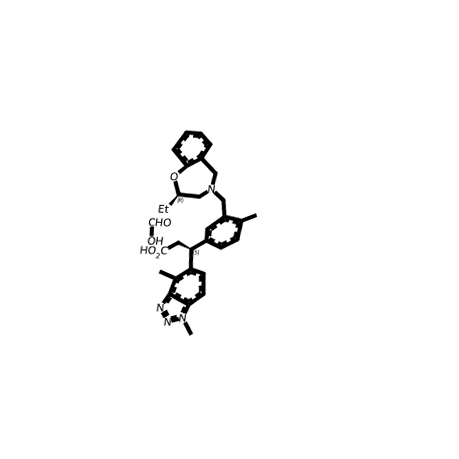 CC[C@@H]1CN(Cc2cc([C@H](CC(=O)O)c3ccc4c(nnn4C)c3C)ccc2C)Cc2ccccc2O1.O=CO